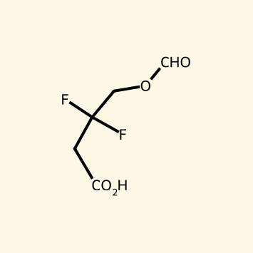 O=COCC(F)(F)CC(=O)O